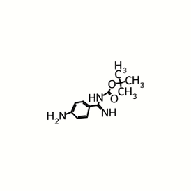 CC(C)(C)OC(=O)NC(=N)c1ccc(N)cc1